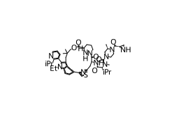 CCn1c(-c2cccnc2C(C)C)c2c3cc(ccc31)-c1csc(n1)C[C@H](NC(=O)[C@H](C(C)C)N(C)C(=O)N1CCN(C(=O)[C@H]3CN3)[C@H](C)C1)C(=O)N1CCC[C@H](N1)C(=O)OCC(C)(C)C2